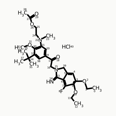 CCOc1cc2c(c(F)c1OCC)C(=N)N(CC(=O)c1cc(N(C)CCOC(C)=O)c(OC)c(C(C)(C)C)c1)C2.Cl